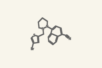 N#Cc1ccc(N2CCCCN2Cc2cc(Br)cs2)c2ccccc12